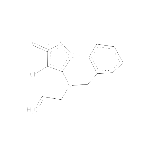 C=CCN(Cc1ccccc1)c1ssc(=O)c1Cl